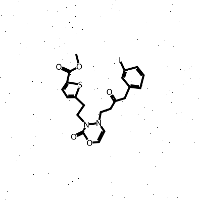 COC(=O)c1ccc(CCN2C(=O)OC=CN2CCC(=O)Cc2cccc(I)c2)s1